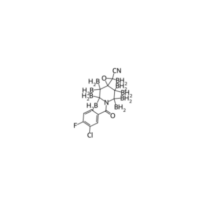 BC1(C#N)OC12C(B)(B)C(B)(B)N(C(=O)c1ccc(F)c(Cl)c1)C(B)(B)C2(B)B